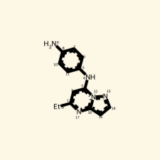 CCc1cc(Nc2ccc(N)cc2)n2nccc2n1